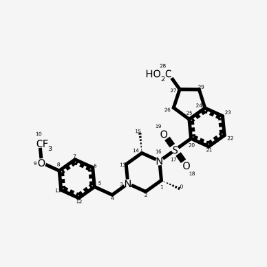 C[C@@H]1CN(Cc2ccc(OC(F)(F)F)cc2)C[C@H](C)N1S(=O)(=O)c1cccc2c1CC(C(=O)O)C2